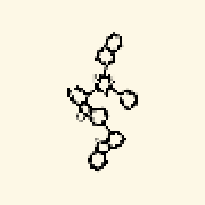 c1ccc(-c2nc(-c3ccc4ccccc4c3)nc(-c3cncc4oc5cc(-c6cccc7c6sc6ccccc67)ccc5c34)n2)cc1